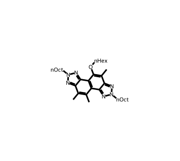 CCCCCCCCn1nc2c(C)c(OCCCCCC)c3c4nn(CCCCCCCC)nc4c(C)c(C)c3c2n1